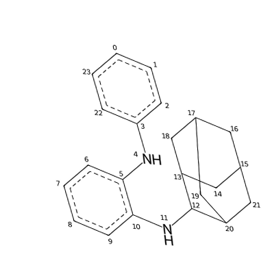 c1ccc(Nc2ccccc2NC2C3CC4CC(C3)CC2C4)cc1